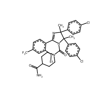 CCOc1cc(C(F)(F)F)ccc1C1=NC(C)(c2ccc(Cl)cc2)C(C)(c2ccc(Cl)cc2)N1C(=O)N1CCC(C(N)=O)CC1